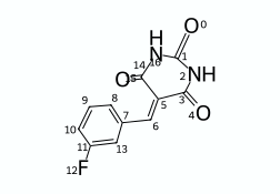 O=C1NC(=O)C(=Cc2cccc(F)c2)C(=O)N1